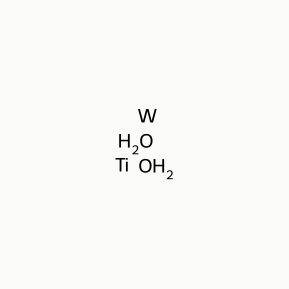 O.O.[Ti].[W]